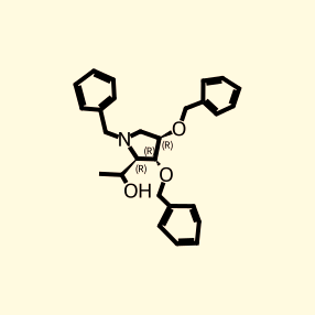 CC(O)[C@@H]1[C@@H](OCc2ccccc2)[C@H](OCc2ccccc2)CN1Cc1ccccc1